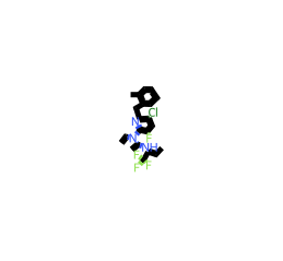 C=CN(C(=C)N/C(=C\C)C(F)(F)F)c1nc(Cc2ccccc2C)c(Cl)cc1F